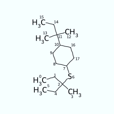 CCC(C)(CC)SC1CCC(C(C)(C)CC)CC1